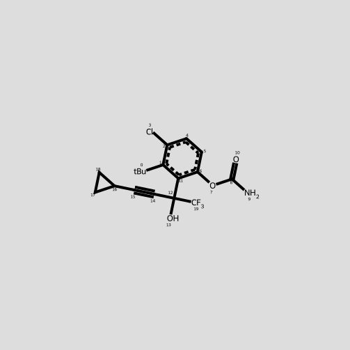 CC(C)(C)c1c(Cl)ccc(OC(N)=O)c1C(O)(C#CC1CC1)C(F)(F)F